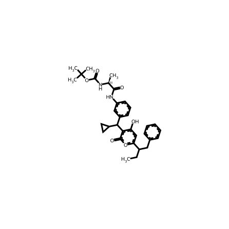 CCC(Cc1ccccc1)c1cc(O)c(C(c2cccc(NC(=O)[C@H](C)NC(=O)OC(C)(C)C)c2)C2CC2)c(=O)o1